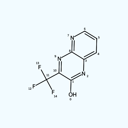 Oc1nc2cccnc2nc1C(F)(F)F